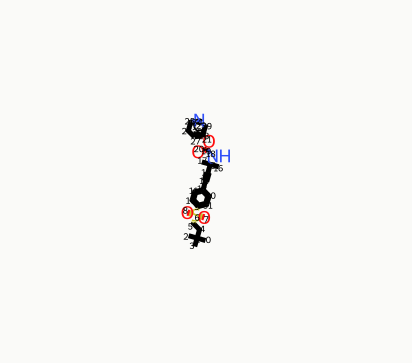 CC(C)(C)CCS(=O)(=O)c1ccc(C#CC(C)(C)NC(=O)OC2CN3CCC2CC3)cc1